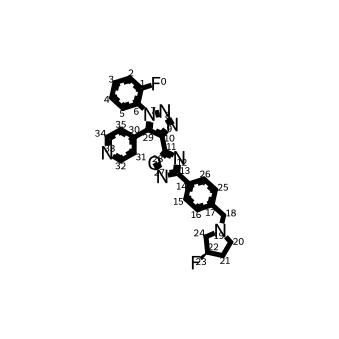 Fc1ccccc1-n1nnc(-c2nc(-c3ccc(CN4CC[C@@H](F)C4)cc3)no2)c1-c1ccncc1